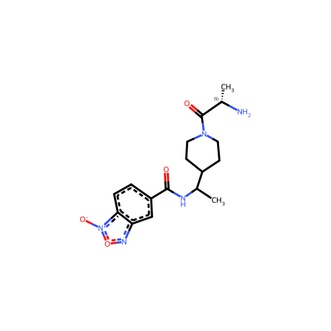 CC(NC(=O)c1ccc2c(c1)no[n+]2[O-])C1CCN(C(=O)[C@H](C)N)CC1